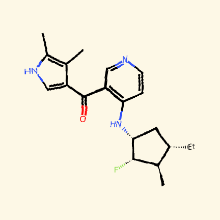 CC[C@H]1C[C@@H](Nc2ccncc2C(=O)c2c[nH]c(C)c2C)[C@@H](F)[C@@H]1C